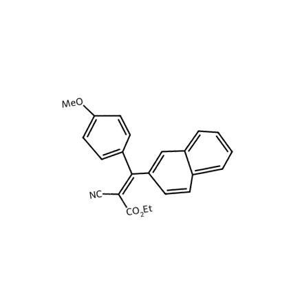 CCOC(=O)/C(C#N)=C(/c1ccc(OC)cc1)c1ccc2ccccc2c1